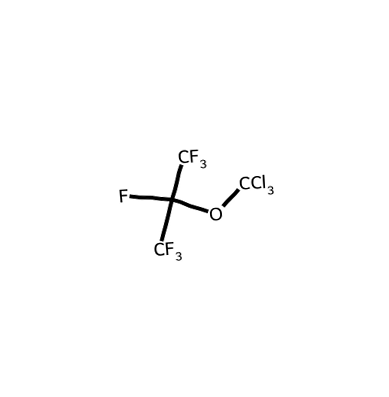 FC(F)(F)C(F)(OC(Cl)(Cl)Cl)C(F)(F)F